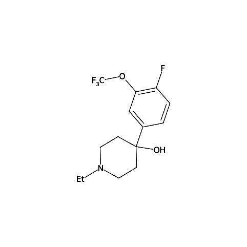 CCN1CCC(O)(c2ccc(F)c(OC(F)(F)F)c2)CC1